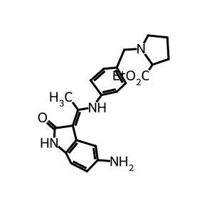 CCOC(=O)C1CCCN1Cc1ccc(NC(C)=C2C(=O)Nc3ccc(N)cc32)cc1